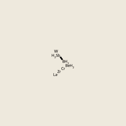 [BH2][SbH2].[BeH2].[Cr].[La].[W].[Zr]